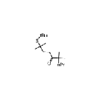 CCCC(C)(C)C(=O)CCC(C)(C)SC(C)(C)C